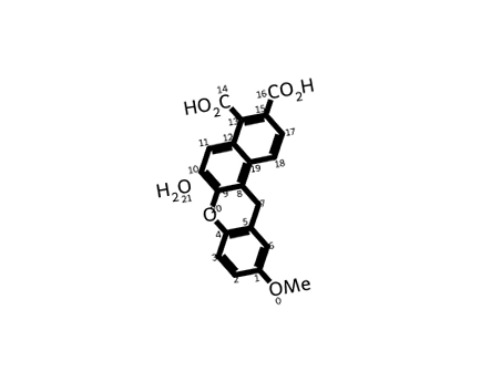 COc1ccc2c(c1)Cc1c(ccc3c(C(=O)O)c(C(=O)O)ccc13)O2.O